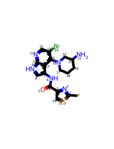 Cc1nc(C(=O)Nc2c[nH]c3ncc(Br)c(N4CCCC(N)C4)c23)cs1